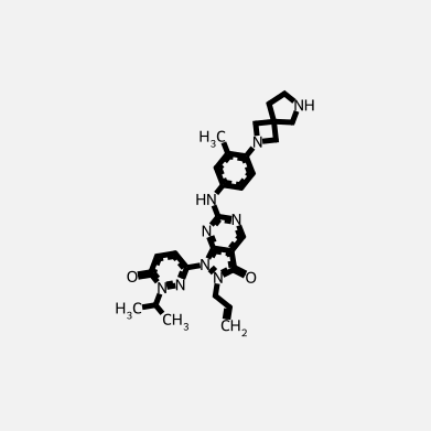 C=CCn1c(=O)c2cnc(Nc3ccc(N4CC5(CCNC5)C4)c(C)c3)nc2n1-c1ccc(=O)n(C(C)C)n1